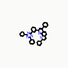 c1ccc(-c2ccc3ccc4c(-c5ccccc5)cc(-c5cccc(-c6nc(-c7ccccc7)nc(-c7ccccc7)n6)c5)nc4c3n2)cc1